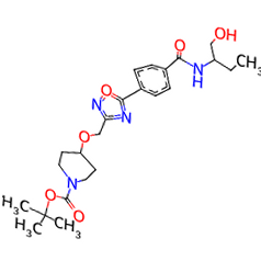 CCC(CO)NC(=O)c1ccc(-c2nc(COC3CCN(C(=O)OC(C)(C)C)CC3)no2)cc1